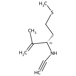 C#CN[C@@H](CCSC)C(=C)C